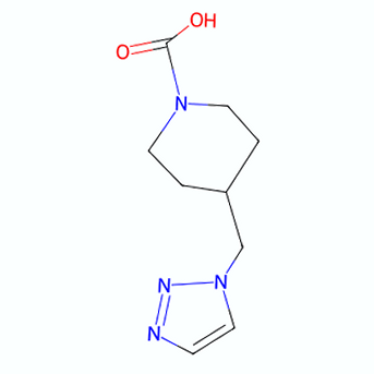 O=C(O)N1CCC(Cn2ccnn2)CC1